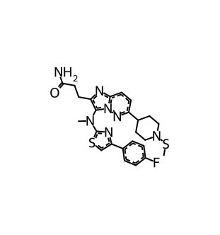 CSN1CCC(c2ccc3nc(CCC(N)=O)c(N(C)c4nc(-c5ccc(F)cc5)cs4)n3n2)CC1